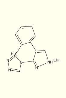 Cc1ccccc1-c1c[nH]nc1-n1cnnc1.Cl